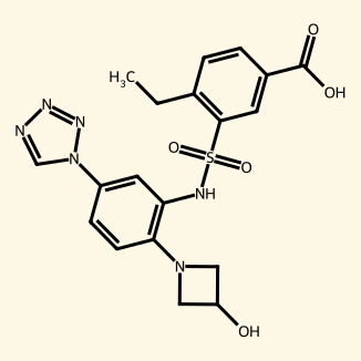 CCc1ccc(C(=O)O)cc1S(=O)(=O)Nc1cc(-n2cnnn2)ccc1N1CC(O)C1